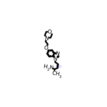 CC(N)/C=C\Cn1cnc2cc(OCCN3CCOCC3)ccc21